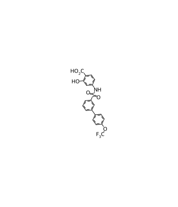 O=C(O)c1ccc(NS(=O)(=O)c2cccc(-c3ccc(OC(F)(F)F)cc3)c2)cc1O